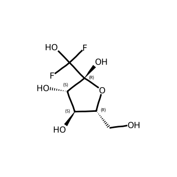 OC[C@H]1O[C@@](O)(C(O)(F)F)[C@@H](O)[C@@H]1O